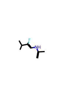 C=C(C)N/C=C(\F)C(C)C